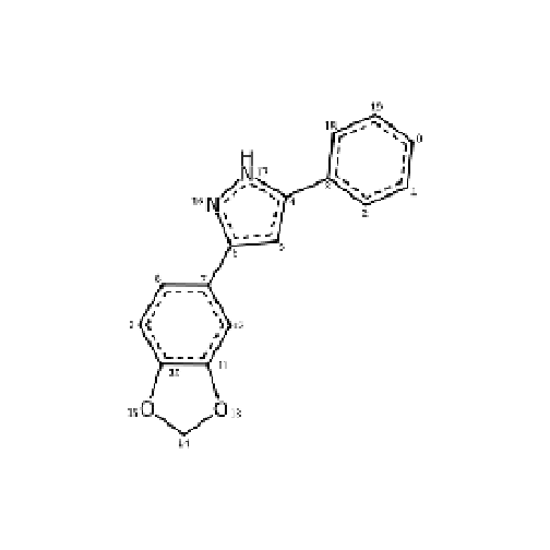 c1ccc(-c2cc(-c3ccc4c(c3)OCO4)n[nH]2)cc1